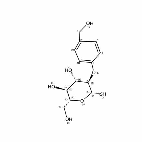 OCc1ccc(O[C@@H]2[C@@H](O)[C@H](O)[C@@H](CO)O[C@H]2S)cc1